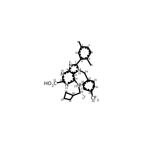 Cc1ccc(C)c(-c2nc3nc(C(=O)O)nc(N[C@H](C)C4CCC4)c3n2Cc2ccc(C(F)(F)F)cc2)c1